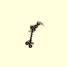 CCN(CC)c1ccc(C(=O)c2ccccc2C(=O)NCCCCCCCCOC(=O)C(C#N)=C(c2ccccc2)c2ccccc2)c(O)c1